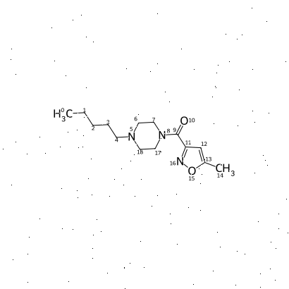 CCCCCN1CCN(C(=O)c2cc(C)on2)CC1